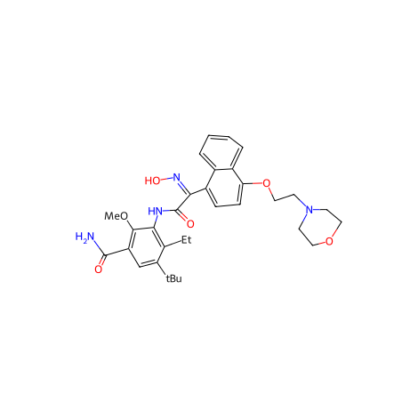 CCc1c(C(C)(C)C)cc(C(N)=O)c(OC)c1NC(=O)C(=NO)c1ccc(OCCN2CCOCC2)c2ccccc12